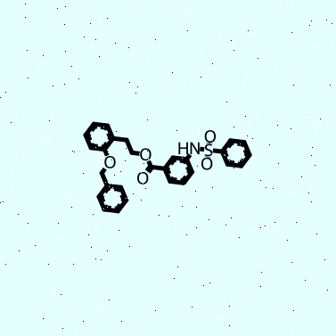 O=C(OCCc1ccccc1OCc1ccccc1)c1cccc(NS(=O)(=O)c2ccccc2)c1